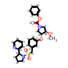 CO[C@@H]1CN(C(=O)Oc2ccccc2)C[C@H]1Oc1cccc(CS(=O)(=O)N2CCCC2c2ccccn2)c1